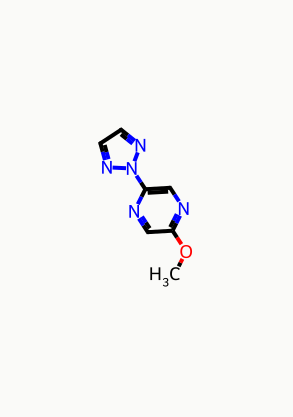 COc1cnc(-n2nccn2)cn1